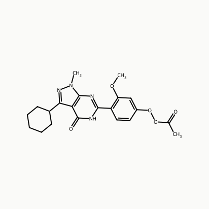 COc1cc(OOC(C)=O)ccc1-c1nc2c(c(C3CCCCC3)nn2C)c(=O)[nH]1